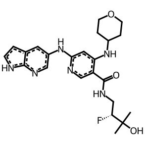 CC(C)(O)[C@H](F)CNC(=O)c1cnc(Nc2cnc3[nH]ccc3c2)cc1NC1CCOCC1